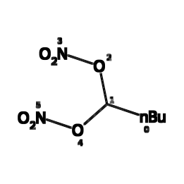 CCCCC(O[N+](=O)[O-])O[N+](=O)[O-]